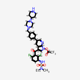 CCN(C)S(=O)(=O)Nc1ccc(F)c(C(=O)c2cn(OC(=O)C(F)(F)F)c3ncc(-c4ccc(CN5CCN(C6CCNCC6)CC5)cc4)cc23)c1F